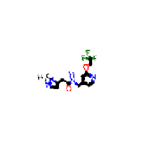 Cn1nccc1CC(=O)NCc1ccnc(OCC(F)(F)F)c1